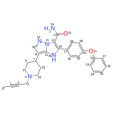 CC#CCN1CCC(c2cnn3c(C(N)=O)c(-c4ccc(Oc5ccccc5)cc4)[nH]c23)CC1